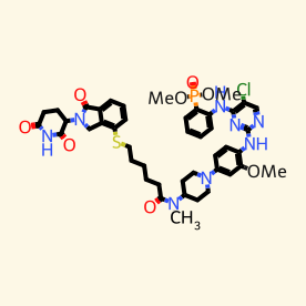 COc1cc(N2CCC(N(C)C(=O)CCCCCSc3cccc4c3CN(C3CCC(=O)NC3=O)C4=O)CC2)ccc1Nc1ncc(Cl)c(Nc2ccccc2P(=O)(OC)OC)n1